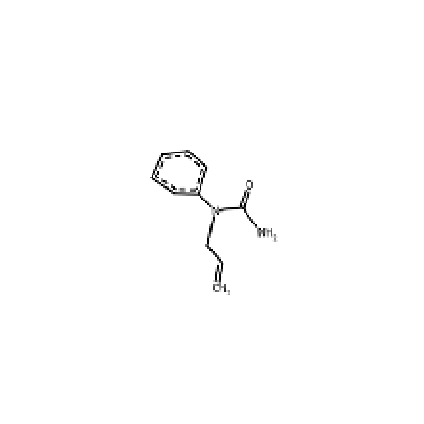 C=CCN(C(N)=O)c1ccccc1